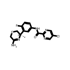 C[C@@]1(c2cc(NC(=O)c3ncc(Cl)cn3)ccc2F)COCC(N)=N1